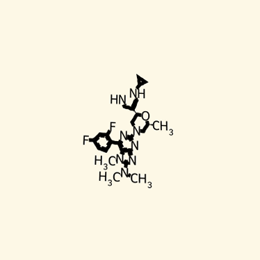 C[C@@H]1CN(c2nc(-c3ccc(F)cc3F)c3c(n2)nc(N(C)C)n3C)C[C@H](/C(C=N)=C/NC2CC2)O1